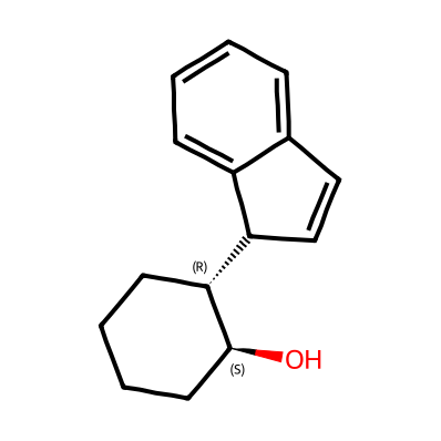 O[C@H]1CCCC[C@@H]1C1C=Cc2ccccc21